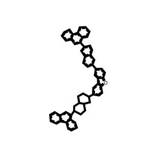 c1ccc2c(c1)cc(-c1ccc3cc(-c4ccc5oc6ccc(C7CCC8CC(c9cc%10ccccc%10c%10ccccc9%10)CCC8C7)cc6c5c4)ccc3c1)c1ccccc12